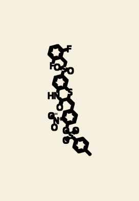 Cc1ccc(S(=O)(=O)Oc2ccc(/C=C3/Sc4cc(S(=O)(=O)Cc5c(F)cccc5F)ccc4NC3=O)cc2[N+](=O)[O-])cc1